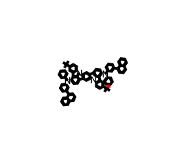 CC(C)(C)c1ccc2c(c1)c1c(N(c3ccccc3)c3cccc(-c4cccc5ccccc45)c3)ccc3c4cc5c(cc4n2c31)c1ccc(N(c2ccccc2)c2cccc(-c3cccc4ccccc34)c2)c2c3cc(C(C)(C)C)ccc3n5c12